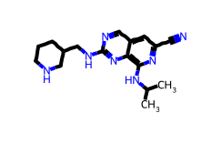 CC(C)Nc1nc(C#N)cc2cnc(NCC3CCCNC3)nc12